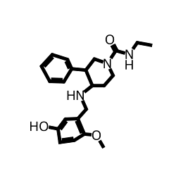 CCNC(=O)N1CCC(NCc2cc(O)ccc2OC)C(c2ccccc2)C1